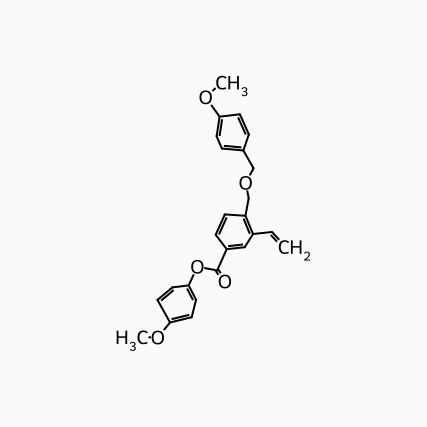 C=Cc1cc(C(=O)Oc2ccc(OC)cc2)ccc1COCc1ccc(OC)cc1